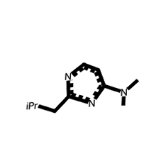 CC(C)Cc1nccc(N(C)C)n1